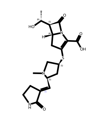 C[C@@H](O)[C@H]1C(=O)N2C(C(=O)O)=C(S[C@H]3C[C@@H](/C=C4\CCNC4=O)N(C)C3)C[C@H]12